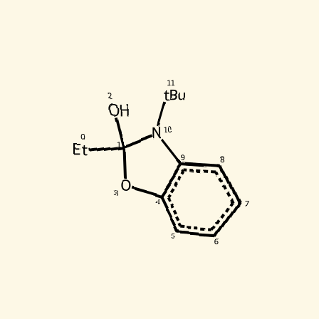 CCC1(O)Oc2ccccc2N1C(C)(C)C